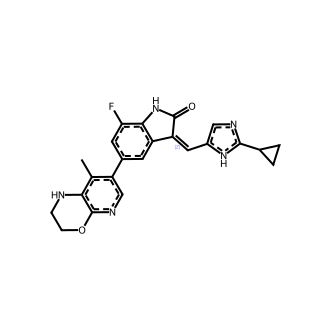 Cc1c(-c2cc(F)c3c(c2)/C(=C/c2cnc(C4CC4)[nH]2)C(=O)N3)cnc2c1NCCO2